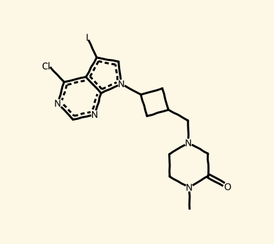 CN1CCN(CC2CC(n3cc(I)c4c(Cl)ncnc43)C2)CC1=O